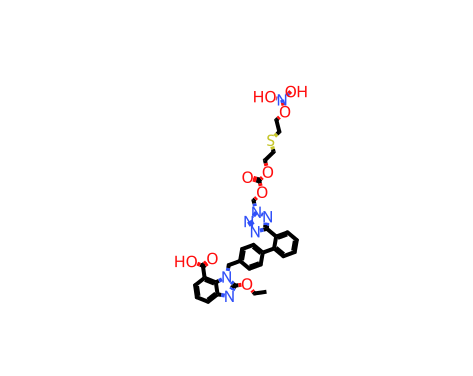 CCOc1nc2cccc(C(=O)O)c2n1Cc1ccc(-c2ccccc2-c2nnn(COC(=O)OCCSCCON(O)O)n2)cc1